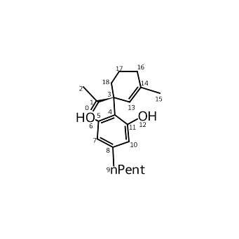 C=C(C)[C@]1(c2c(O)cc(CCCCC)cc2O)C=C(C)CCC1